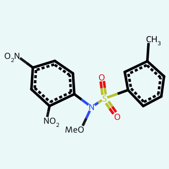 CON(c1ccc([N+](=O)[O-])cc1[N+](=O)[O-])S(=O)(=O)c1cccc(C)c1